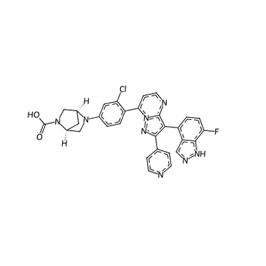 O=C(O)N1C[C@@H]2C[C@H]1CN2c1ccc(-c2ccnc3c(-c4ccc(F)c5[nH]ncc45)c(-c4ccncc4)nn23)c(Cl)c1